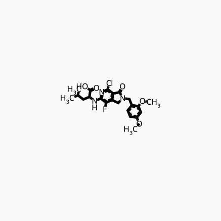 COc1ccc(CN2Cc3c(F)c(NC(CC(C)C)C(=O)O)nc(Cl)c3C2=O)c(OC)c1